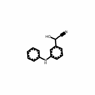 N#CC(O)c1cccc(Nc2ccccc2)c1